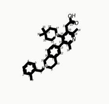 Cc1ccccc1CN1CCc2cc(-c3c(C)nc(C)c(CC(=O)O)c3N3CCC(C)(C)CC3)ccc2C1